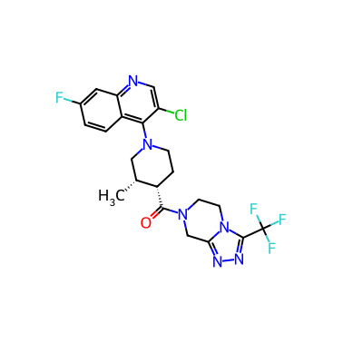 C[C@@H]1CN(c2c(Cl)cnc3cc(F)ccc23)CC[C@@H]1C(=O)N1CCn2c(nnc2C(F)(F)F)C1